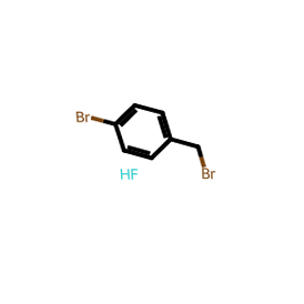 BrCc1ccc(Br)cc1.F